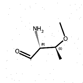 CO[C@@H](C)[C@@H](N)[C]=O